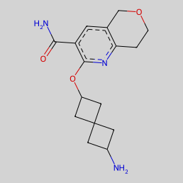 NC(=O)c1cc2c(nc1OC1CC3(CC(N)C3)C1)CCOC2